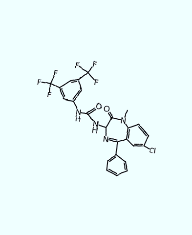 CN1C(=O)C(NC(=O)Nc2cc(C(F)(F)F)cc(C(F)(F)F)c2)N=C(c2ccccc2)c2cc(Cl)ccc21